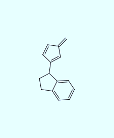 C=C1C=CC(C2CCc3ccccc32)=C1